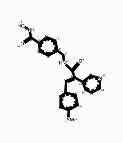 CSc1ccc(/C=C(/C(=O)NCc2ccc(C(=O)NO)cc2)c2cccnc2)cc1